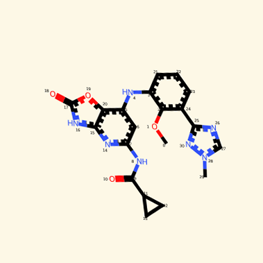 COc1c(Nc2cc(NC(=O)C3CC3)nc3[nH]c(=O)oc23)cccc1-c1ncn(C)n1